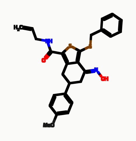 C=CCNC(=O)c1sc(SCc2ccccc2)c2c1CC(c1ccc(OC)cc1)C/C2=N\O